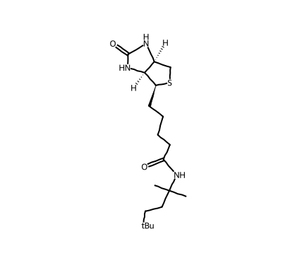 CC(C)(C)CCC(C)(C)NC(=O)CCCC[C@@H]1SC[C@@H]2NC(=O)N[C@@H]21